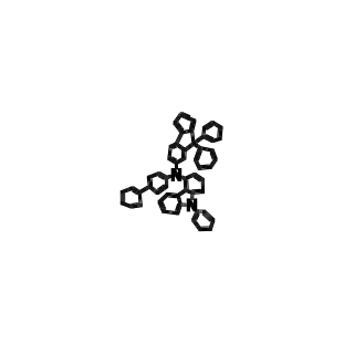 c1ccc(-c2ccc(N(c3ccc4c(c3)C(c3ccccc3)(c3ccccc3)c3ccccc3-4)c3cccc4c3c3ccccc3n4-c3ccccc3)cc2)cc1